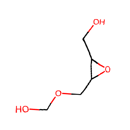 OCOCC1OC1CO